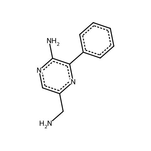 NCc1cnc(N)c(-c2ccccc2)n1